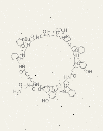 CCCC[C@H]1C(=O)N(C)CC(=O)N[C@@H](CC(=O)O)C(=O)N[C@@H](C(C)C)C(=O)N(C)[C@@H](Cc2ccccc2)C(=O)N[C@@H](Cc2ccc(O)cc2)C(=O)N(C)CC(=O)N[C@@H](Cc2c[nH]c3ccccc23)C(=O)N[C@@H](Cc2ccc(O)cc2)C(=O)N2CCC[C@@H]2C(=O)N[C@H](C(=O)NCC(N)=O)CSCC(=O)N[C@@H](Cc2ccccc2)C(=O)N(C)[C@@H](Cc2ccccc2)C(=O)N1C